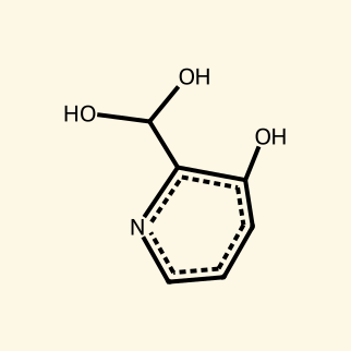 Oc1cccnc1C(O)O